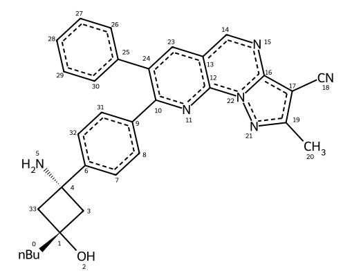 CCCC[C@]1(O)C[C@](N)(c2ccc(-c3nc4c(cnc5c(C#N)c(C)nn54)cc3-c3ccccc3)cc2)C1